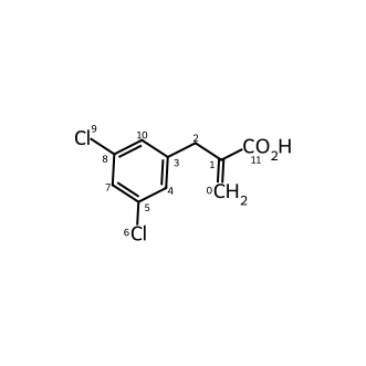 C=C(Cc1cc(Cl)cc(Cl)c1)C(=O)O